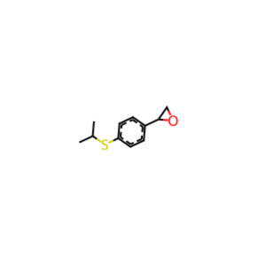 CC(C)Sc1ccc(C2CO2)cc1